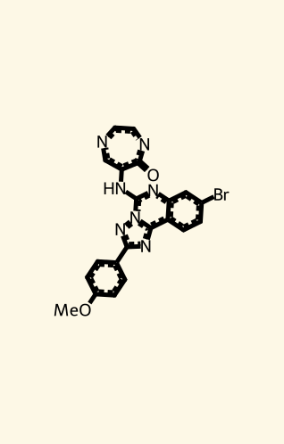 COc1ccc(-c2nc3c4ccc(Br)cc4nc(Nc4cnccnc4=O)n3n2)cc1